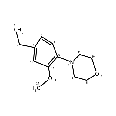 CCc1ccc(N2CCOCC2)c(OC)c1